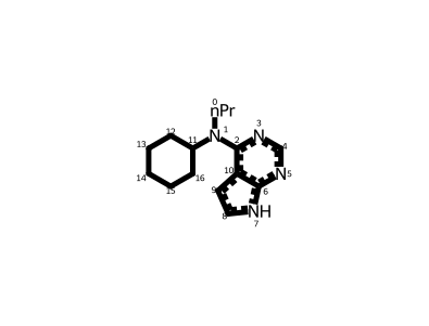 CCCN(c1ncnc2[nH]ccc12)C1CCCCC1